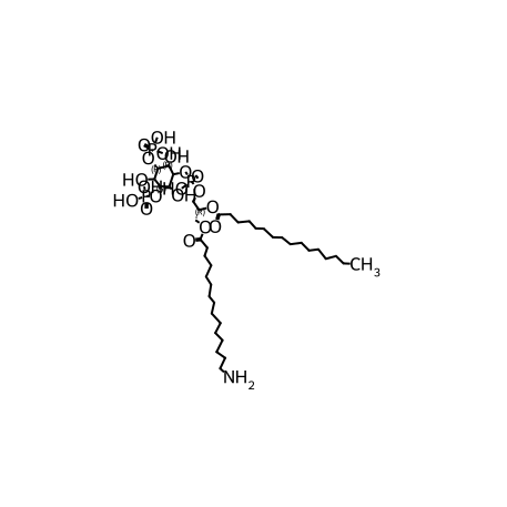 CCCCCCCCCCCCCCCC(=O)O[C@H](COC(=O)CCCCCCCCCCCCCCN)COP(=O)(O)OC1C(O)[C@@H](OP(=O)(O)O)C(O)[C@@H](OP(=O)(O)O)[C@H]1O